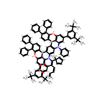 C=C/C=C\C(=C(\N1c2cc3c(cc2B2c4ccc(-c5ccccc5)c(-c5ccccc5)c4Oc4cc(-c5cc(C(C)(C)C)cc(C(C)(C)C)c5)cc1c42)B1c2ccc(-c4ccccc4)c(-c4ccccc4)c2Oc2cc(-c4cc(C(C)(C)C)cc(C(C)(C)C)c4)cc(c21)N3c1ccccc1)C1(C)C=CC=C1)c1ccccc1